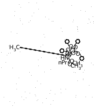 CC#CC#CC#CC#CC#CC#CC#CC#CC#CC#CC(=O)N[C@@H](COC1OC(COCc2ccccc2)C(OCc2ccccc2)C(OCc2ccccc2)C1OCc1ccccc1)[C@@H]1OC(C)(C)O[C@@H]1CCC